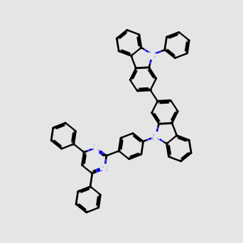 c1ccc(-c2cc(-c3ccccc3)nc(-c3ccc(-n4c5ccccc5c5ccc(-c6ccc7c8ccccc8n(-c8ccccc8)c7c6)cc54)cc3)n2)cc1